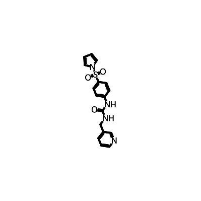 O=C(NCc1cccnc1)Nc1ccc(S(=O)(=O)n2cccc2)cc1